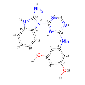 COc1cc(Nc2ncnc(-n3c(N)nc4ccccc43)n2)cc(OC)c1